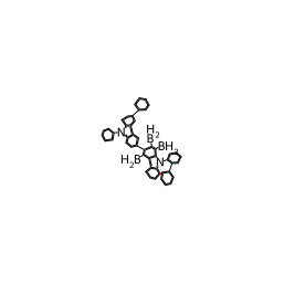 Bc1c(-c2ccc3c(c2)c2cc(-c4ccccc4)ccc2n3-c2ccccc2)c(B)c2c3ccccc3n(-c3ccccc3-c3ccccc3)c2c1B